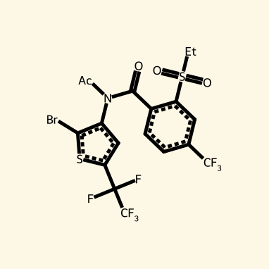 CCS(=O)(=O)c1cc(C(F)(F)F)ccc1C(=O)N(C(C)=O)c1cc(C(F)(F)C(F)(F)F)sc1Br